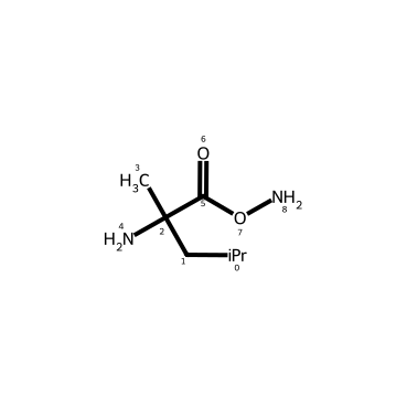 CC(C)CC(C)(N)C(=O)ON